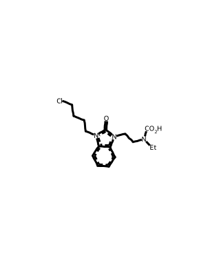 CCN(CCn1c(=O)n(CCCCCl)c2ccccc21)C(=O)O